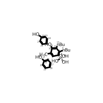 CCCCc1c([PH](O)(O)O)cc(C)c(O)c1CCCC.Oc1ccccc1.Oc1ccccc1